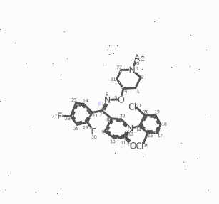 CC(=O)N1CCC(O/N=C(\c2ccc(=O)n(-c3c(Cl)cccc3Cl)c2)c2ccc(F)cc2F)CC1